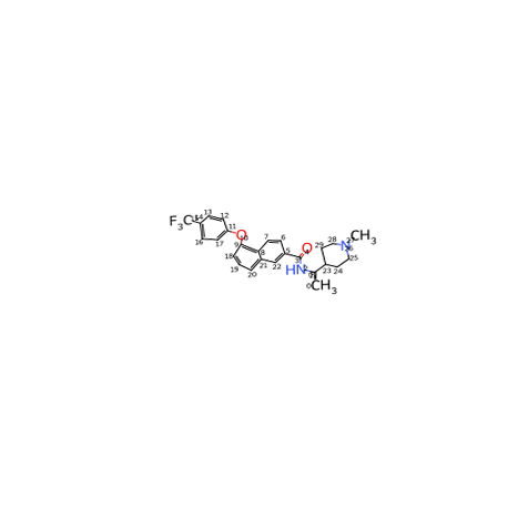 C[C@@H](NC(=O)c1ccc2c(Oc3ccc(C(F)(F)F)cc3)cccc2c1)C1CCN(C)CC1